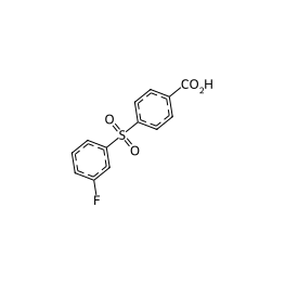 O=C(O)c1ccc(S(=O)(=O)c2cccc(F)c2)cc1